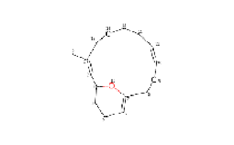 CC1=CC2CCC=C(CCC=CCCCC1)O2